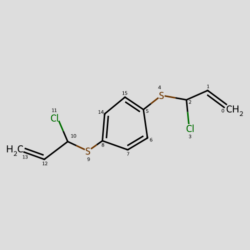 C=CC(Cl)Sc1ccc(SC(Cl)C=C)cc1